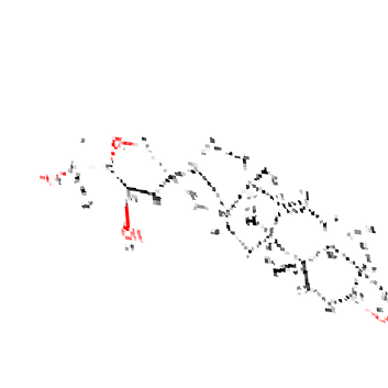 CC(C)(O)[C@@H]1OC[C@H]([C@@H]2CC[C@]3(C)C4=CC[C@H]5C(C)(C)[C@H](O)CC[C@]5(C)[C@H]4CC[C@@]23C)C[C@H]1O